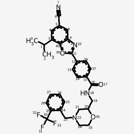 CC(C)c1cc(C#N)cc2nc(-c3ccc(C(=O)NCC4CN(Cc5ccccc5C(F)(F)F)CCO4)cc3)oc12